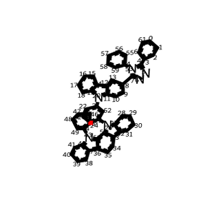 c1ccc(-c2nnc(-c3ccc4c(c3)c3ccccc3n4-c3cccc(-n4c5ccccc5c5ccc6c7ccccc7n(-c7ccccc7)c6c54)c3)n2-c2ccccc2)cc1